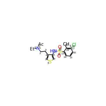 CCN(CCc1cscc1NS(=O)(=O)c1cccc(Cl)c1C)C(C)=O